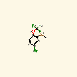 CSc1cc(Br)ccc1OC(F)(F)F